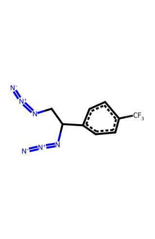 [N-]=[N+]=NCC(N=[N+]=[N-])c1ccc(C(F)(F)F)cc1